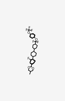 CC1COC(c2ccc(C3CCC(C4CCC(C(F)(F)Oc5ccc(OC(F)(F)F)cc5)CC4)CC3)c(F)c2)OC1